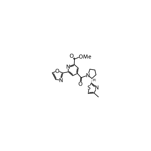 COC(=O)c1cc(C(=O)N2CCC[C@@H]2c2nc(C)cs2)cc(-c2ncco2)n1